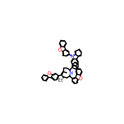 CCC1CC(c2cccc3oc4ccc(-c5ccc6c(c5)c5ccccc5n6-c5ccc6oc7ccccc7c6c5)cc4c23)/N=C(/c2ccccc2)CC/C(C)=C/1c1ccc2c(c1)oc1ccccc12